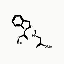 COC(=O)CNC[C@H]1Cc2ccccc2N1C(=O)OC(C)(C)C